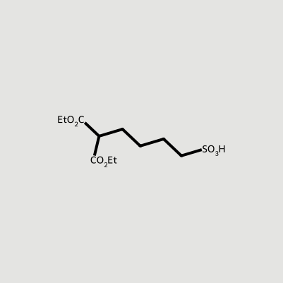 CCOC(=O)C(CCCCS(=O)(=O)O)C(=O)OCC